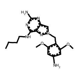 CCCCNc1nc(N)nc2cn(Cc3c(OC)cc(N)cc3OC)nc12